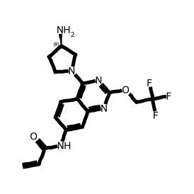 C=CC(=O)Nc1ccc2c(N3CC[C@@H](N)C3)nc(OCC(F)(F)F)nc2c1